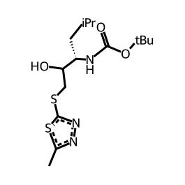 Cc1nnc(SCC(O)[C@H](CC(C)C)NC(=O)OC(C)(C)C)s1